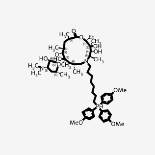 CC[C@H]1OC(=O)[C@H](C)C[C@H](C)[C@@H](O[C@@H]2O[C@H](C)C[C@H](N(C)C)[C@H]2O)[C@](C)(O)C[C@@H](C)CN(CCCCCCCC[PH](c2ccc(OC)cc2)(c2ccc(OC)cc2)c2ccc(OC)cc2)[C@H](C)[C@@H](O)[C@]1(C)O